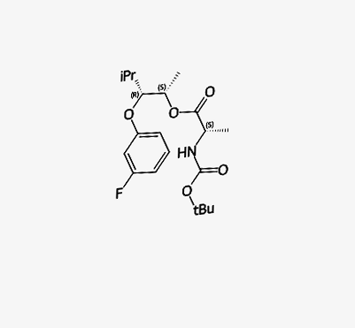 CC(C)[C@@H](Oc1cccc(F)c1)[C@H](C)OC(=O)[C@H](C)NC(=O)OC(C)(C)C